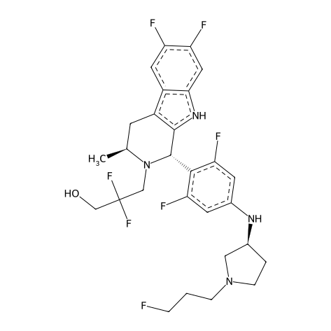 C[C@H]1Cc2c([nH]c3cc(F)c(F)cc23)[C@H](c2c(F)cc(N[C@H]3CCN(CCCF)C3)cc2F)N1CC(F)(F)CO